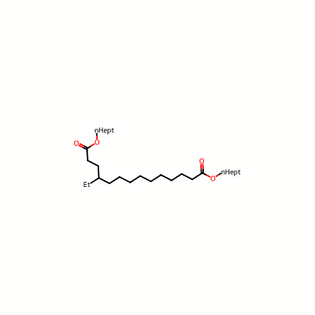 CCCCCCCOC(=O)CCCCCCCCCC(CC)CCC(=O)OCCCCCCC